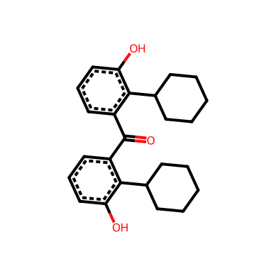 O=C(c1cccc(O)c1C1CCCCC1)c1cccc(O)c1C1CCCCC1